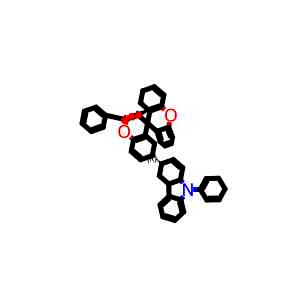 C1=CC(N2c3ccccc3C3CC([C@@H]4C=CC5=C(C4)C4(C6=C(C=CCC6)Oc6ccccc64)c4cccc(-c6ccccc6)c4O5)C=CC32)=CCC1